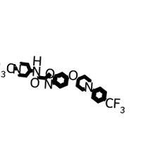 CN1CCC(NC(=O)c2nc3ccc(OC4CCN(c5ccc(C(F)(F)F)cc5)CC4)cc3o2)CC1